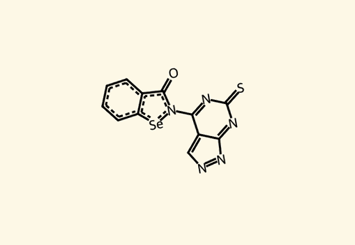 O=c1c2ccccc2[se]n1C1=NC(=S)N=C2N=NC=C21